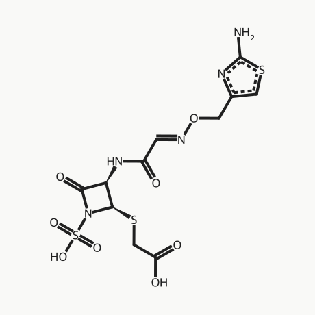 Nc1nc(CON=CC(=O)N[C@@H]2C(=O)N(S(=O)(=O)O)[C@@H]2SCC(=O)O)cs1